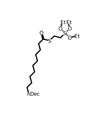 CCCCCCCCCCCCCCCCCCCC(=O)SCC[Si](OCC)(OCC)OCC